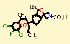 C=CCC(O)(/C=C(\c1cc(Cl)c(F)c(Cl)c1)C(F)(F)F)c1ccc2c(c1)C(C(C)(C)C)OC21CN(C(=O)O)C1